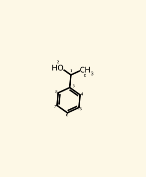 CC(O)c1c[c]ccc1